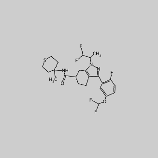 CC(C(F)F)n1nc(-c2cc(OC(F)F)ccc2F)c2c1CC(C(=O)NC1(C)CCSCC1)CC2